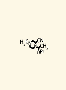 C=C(CCC)N1CCN(C)CC1C#N